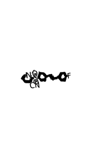 N#Cc1cccnc1S(=O)(=O)c1ccc(C=Cc2ccc(F)cc2)cc1